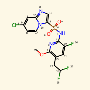 COc1nc(NS(=O)(=O)c2cnc3cc(Cl)ccn23)c(F)cc1CC(F)F